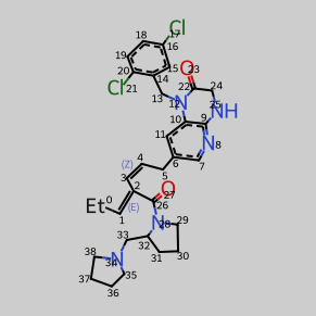 CC/C=C(\C=C/Cc1cnc2c(c1)N(Cc1cc(Cl)ccc1Cl)C(=O)CN2)C(=O)N1CCCC1CN1CCCC1